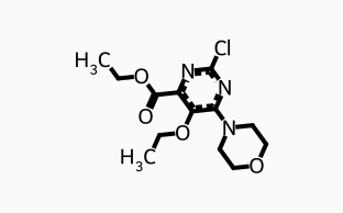 CCOC(=O)c1nc(Cl)nc(N2CCOCC2)c1OCC